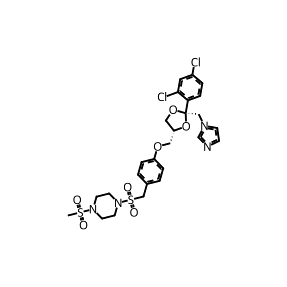 CS(=O)(=O)N1CCN(S(=O)(=O)Cc2ccc(OC[C@@H]3CO[C@@](Cn4ccnc4)(c4ccc(Cl)cc4Cl)O3)cc2)CC1